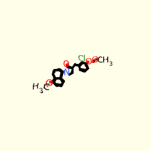 COCOc1cccc(CC2CCN(C3CCCc4c(OC)cccc43)C2=O)c1Cl